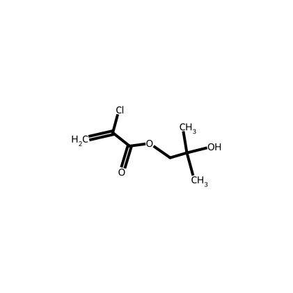 C=C(Cl)C(=O)OCC(C)(C)O